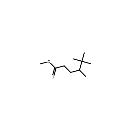 COC(=O)CCC(C)C(C)(C)C